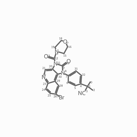 CC(C)(C#N)c1ccc(-n2c(=O)n(C(=O)N3CCOCC3)c3cnc4ccc(Br)cc4c32)cc1